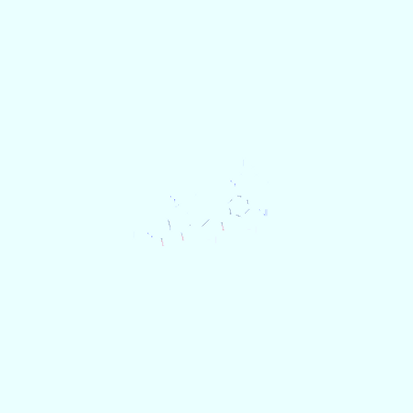 CC(C)Nc1cc(N)c(O)c2c1CC1CC3[C@H](N(C)C)C(O)=C(C(N)=O)C(=O)C3(O)C(O)=C1C2=O